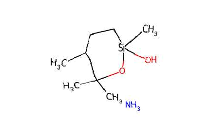 CC1CC[Si](C)(O)OC1(C)C.N